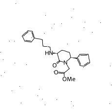 COC(=O)CN1C(=O)[C@@H](NCCCc2ccccc2)CC[C@H]1c1ccccc1